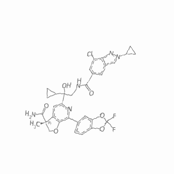 C[C@]1(C(N)=O)COc2c1cc(C(O)(CNC(=O)c1cc(Cl)c3nn(C4CC4)cc3c1)C1CC1)nc2-c1ccc2c(c1)OC(F)(F)O2